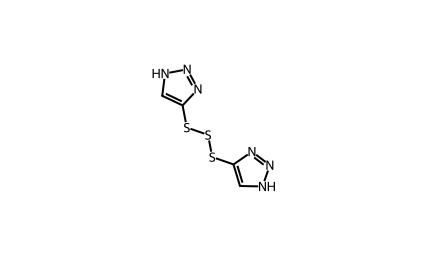 c1[nH]nnc1SSSc1c[nH]nn1